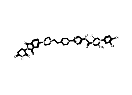 CCc1cc(N2C[C@@H](C)N(C(=O)Nc3cnc(N4CCC(CCN5CCN(c6ccc7c(c6)C(=O)N(C6CCC(=O)NC6=O)C7=O)CC5)CC4)nc3)C[C@@H]2C)ccc1C#N